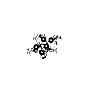 Cc1cc2c(c(C)c1N1c3cc(C(C)(C)C)cc4c3B(c3cc(C(C)(C)C)ccc3N4c3ccc(C(C)(C)C)cc3)c3oc4ccc(C(C)(C)C)cc4c31)OCCO2